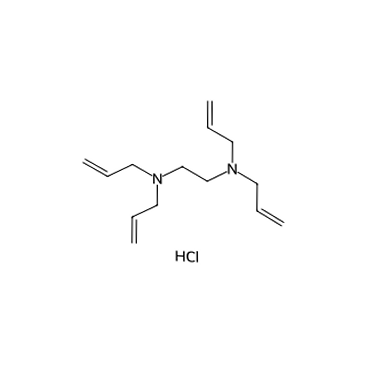 C=CCN(CC=C)CCN(CC=C)CC=C.Cl